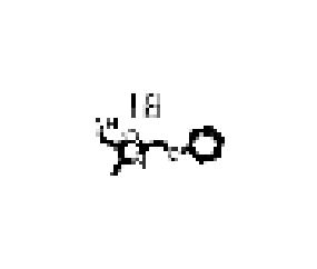 Cc1nc(COc2ccccc2)oc1CN.Cl.Cl